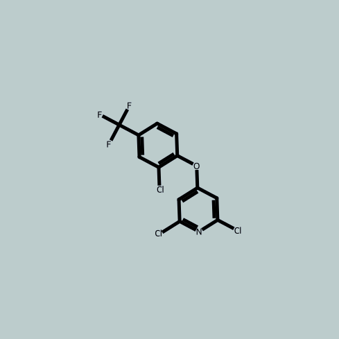 FC(F)(F)c1ccc(Oc2cc(Cl)nc(Cl)c2)c(Cl)c1